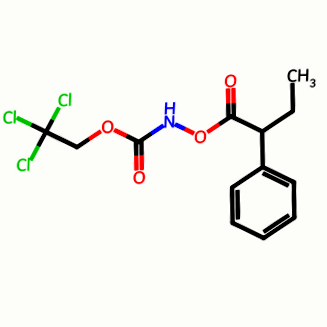 CCC(C(=O)ONC(=O)OCC(Cl)(Cl)Cl)c1ccccc1